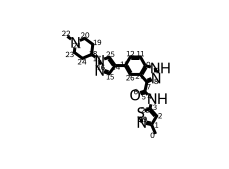 Cc1cc(NC(=O)c2n[nH]c3ccc(-c4cnn(C5CCN(C)CC5)c4)cc23)sn1